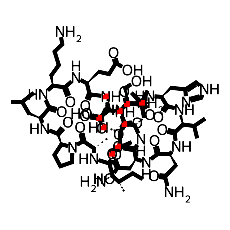 CC[C@H](C)[C@H](N)C(=O)N[C@@H](C)C(=O)N1CCC[C@H]1C(=O)N[C@@H](CC(C)C)C(=O)N[C@@H](CCCCN)C(=O)N[C@@H](CCC(=O)O)C(=O)N[C@@H](CC(N)=O)C(=O)N[C@H](C(=O)N[C@@H](CO)C(=O)N[C@@H](Cc1c[nH]cn1)C(=O)N[C@H](C(=O)N[C@@H](CC(N)=O)C(=O)N[C@@H](CC(=O)O)C(=O)N[C@@H](CC(C)C)C(=O)N[C@@H](C)C(=O)O)C(C)C)C(C)C